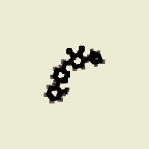 O=C1C(=O)N(C2CC3CC2C3)CCN1Cc1ccc(-c2ccccc2F)nn1